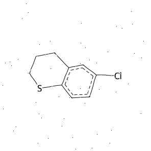 Clc1ccc2c(c1)CCCS2